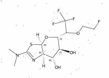 CN(C)C1=N[C@@H]2[C@@H](O)[C@H](O)[C@@H](C(OCCF)C(F)(F)F)O[C@@H]2S1